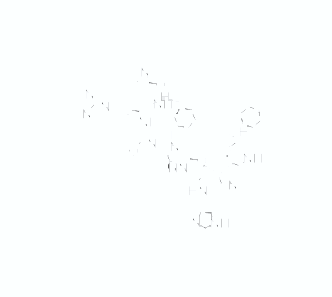 CC(C)[C@H](NC(=O)[C@H](CCCNC(=N)N)NC(=O)[C@@H](N)CC(N)=O)C(=O)N[C@@H](Cc1ccc(O)cc1)C(=O)N[C@H](C(=O)N[C@@H](Cc1cnc[nH]1)C(=O)N1CCC[C@H]1C(=O)N[C@@H](Cc1ccccc1)C(=O)O)C(C)C.P